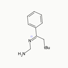 CC(C)(C)C/C(=N\CN)c1ccccc1